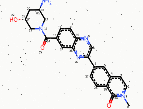 Cn1ccc2cc(-c3cnc4ccc(C(=O)N5C[C@H](N)C[C@@H](O)C5)cc4n3)ccc2c1=O